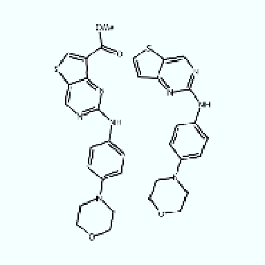 COC(=O)c1csc2cnc(Nc3ccc(N4CCOCC4)cc3)nc12.c1cc2nc(Nc3ccc(N4CCOCC4)cc3)ncc2s1